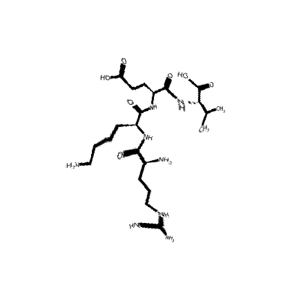 CC(C)[C@H](NC(=O)[C@H](CCC(=O)O)NC(=O)[C@H](CCCCN)NC(=O)[C@@H](N)CCCNC(=N)N)C(=O)O